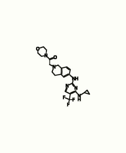 O=C(CN1CCc2cc(Nc3ncc(C(F)(F)F)c(NC4CC4)n3)ccc2C1)N1CCOCC1